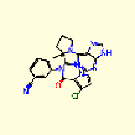 C[C@@]1(c2nn3ccc(Cl)c3c(=O)n2-c2cccc(C#N)c2)CCCN1c1ncnc2[nH]cnc12